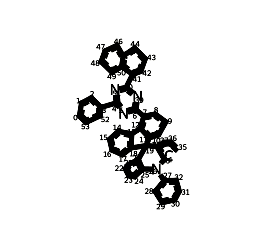 c1ccc(-c2nc(-c3cccc4c3-c3ccccc3C43c4ccccc4N(c4ccccc4)c4ccccc43)nc(-c3cccc4ccccc34)n2)cc1